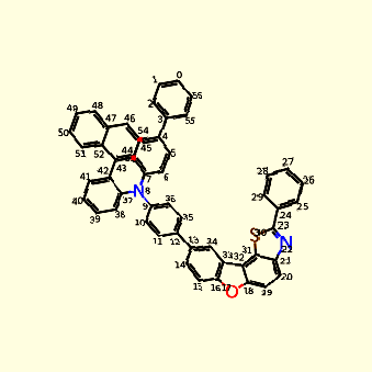 c1ccc(-c2ccc(N(c3ccc(-c4ccc5oc6ccc7nc(-c8ccccc8)sc7c6c5c4)cc3)c3ccccc3-c3cccc4ccccc34)cc2)cc1